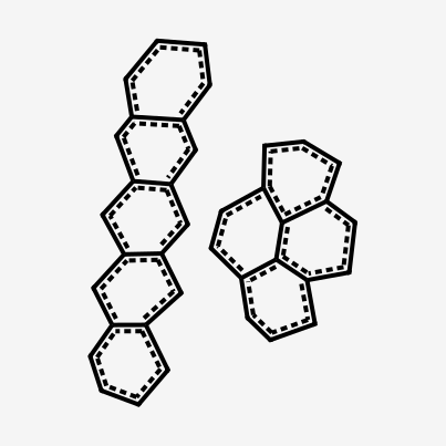 c1cc2ccc3cccc4ccc(c1)c2c34.c1ccc2cc3cc4cc5ccccc5cc4cc3cc2c1